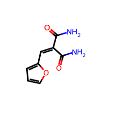 NC(=O)C(=Cc1ccco1)C(N)=O